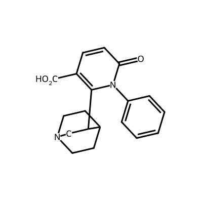 O=C(O)c1ccc(=O)n(-c2ccccc2)c1C1CN2CCC1CC2